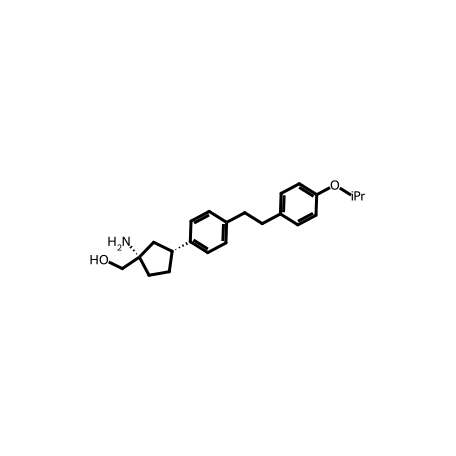 CC(C)Oc1ccc(CCc2ccc([C@@H]3CC[C@@](N)(CO)C3)cc2)cc1